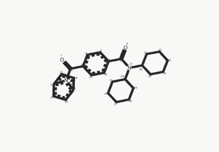 O=C(c1ccc(C(=O)n2c3ccc2cc3)cc1)N(C1CCCCC1)C1CCCCC1